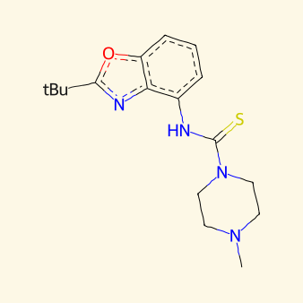 CN1CCN(C(=S)Nc2cccc3oc(C(C)(C)C)nc23)CC1